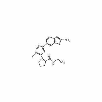 Nc1nc2ccc(-c3ncc(F)c(N4CCC[C@@H]4C(=O)NCC(F)(F)F)n3)cc2s1